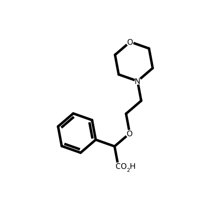 O=C(O)C(OCCN1CCOCC1)c1ccccc1